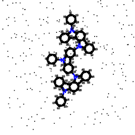 c1ccc(-n2c3ccc(-n4c5ccccc5c5ccc6c(c7ccccc7n6-c6ccccc6)c54)cc3c3cc(-n4c5ccccc5c5ccc6c(c7ccccc7n6-c6ccccc6)c54)ccc32)cc1